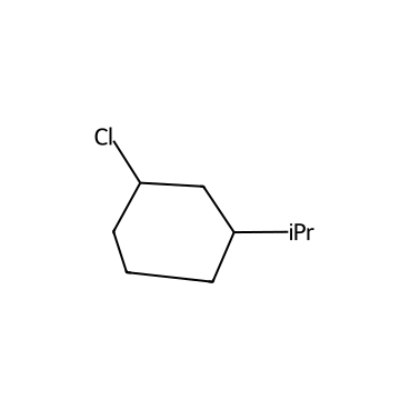 CC(C)C1CCCC(Cl)C1